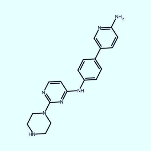 Nc1ccc(-c2ccc(Nc3ccnc(N4CCNCC4)n3)cc2)cn1